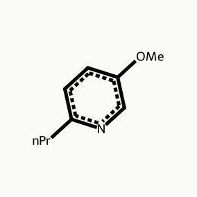 CCCc1ccc(OC)cn1